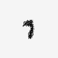 CCCC(=O)O[C@H]1CCC[C@@H]1C(C#N)(c1ccccc1)C1CCN(CC2CN(c3ccc(S(=O)(=O)c4ccncc4)cc3)C2)CC1